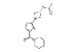 CC(=O)SC1CN(c2nc(C(=O)N3CCSCC3)cs2)C1